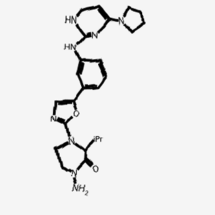 CC(C)C1C(=O)N(N)CCN1c1ncc(-c2cccc(NC3=NC(N4CCCC4)=CCN3)c2)o1